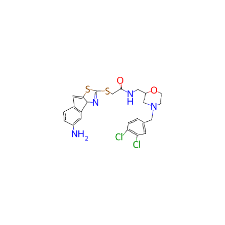 Nc1ccc2c(c1)C1N=C(SCC(=O)NCC3CN(Cc4ccc(Cl)c(Cl)c4)CCO3)SC1=C2